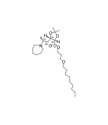 CCCCCCCCCOCCCO[C@H]1O[C@H]([C@H](C)N2CCCCCC2)[C@@H]2OC(C)(C)O[C@H]12